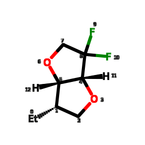 CC[C@H]1CO[C@@H]2[C@H]1OCC2(F)F